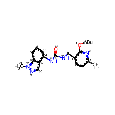 CCCCOc1nc(C(F)(F)F)ccc1CNC(=O)Nc1cccc2c1cnn2C